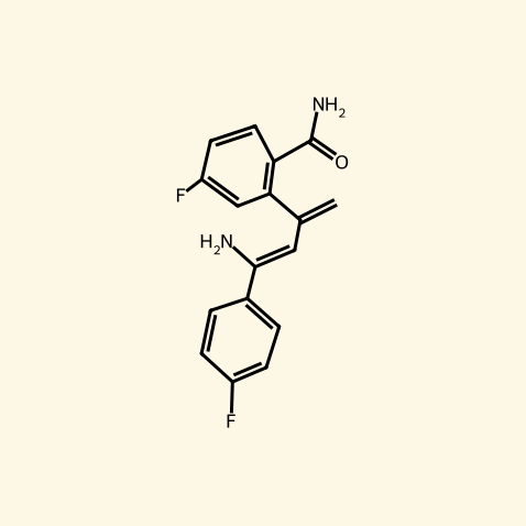 C=C(/C=C(\N)c1ccc(F)cc1)c1cc(F)ccc1C(N)=O